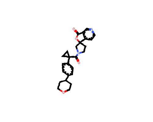 O=C1OC2(CCN(C(=O)C3(c4ccc(C5CCOCC5)cc4)CC3)C2)c2ccncc21